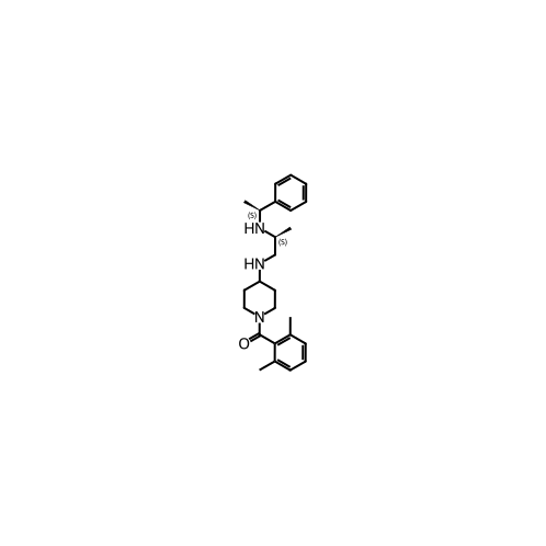 Cc1cccc(C)c1C(=O)N1CCC(NC[C@H](C)N[C@@H](C)c2ccccc2)CC1